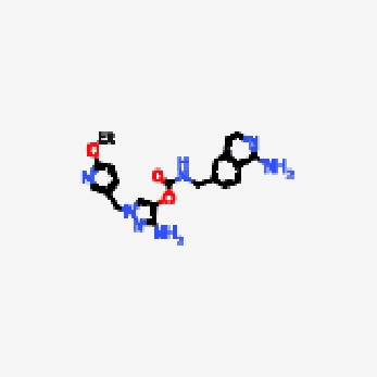 CCOc1ccc(Cn2cc(OC(=O)NCc3ccc4c(N)nccc4c3)c(N)n2)cn1